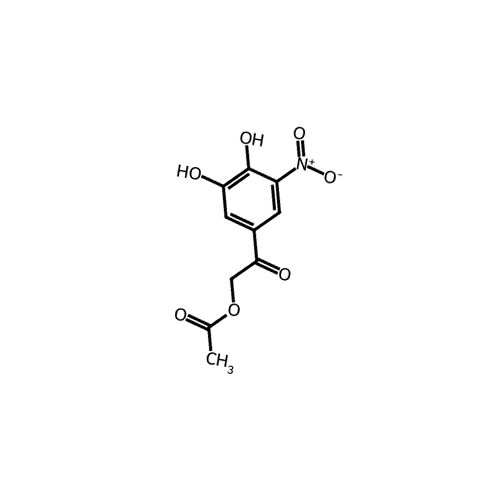 CC(=O)OCC(=O)c1cc(O)c(O)c([N+](=O)[O-])c1